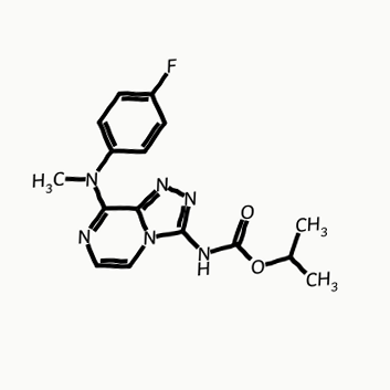 CC(C)OC(=O)Nc1nnc2c(N(C)c3ccc(F)cc3)nccn12